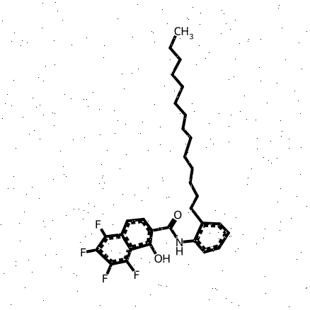 CCCCCCCCCCCCCCc1ccccc1NC(=O)c1ccc2c(F)c(F)c(F)c(F)c2c1O